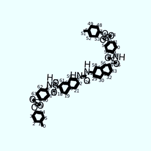 Cc1ccc(OS(=O)(=O)c2ccc(NS(=O)(=O)c3ccc4ccc(NC(=O)Nc5ccc6ccc(S(=O)(=O)Nc7ccc(S(=O)(=O)Oc8ccc(C)cc8)cc7)cc6c5)cc4c3)cc2)cc1